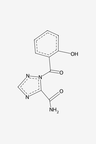 NC(=O)c1ncnn1C(=O)c1ccccc1O